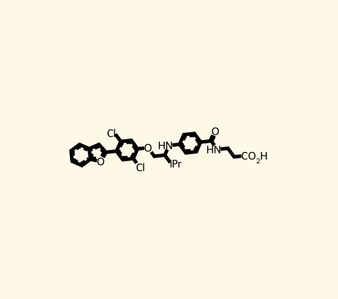 CC(C)C(COc1cc(Cl)c(-c2cc3ccccc3o2)cc1Cl)Nc1ccc(C(=O)NCCC(=O)O)cc1